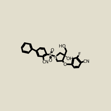 N#Cc1ccc(OC2CN(S(=O)(=O)c3ccc(-c4ccccc4)cc3C#N)C[C@@]2(O)CO)cc1F